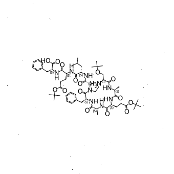 CC(C)C[C@H](NC(=O)[C@@H]1CCCN1C(=O)[C@H](Cc1ccccc1)NC(=O)[C@H](C)NC(=O)[C@H](CCC(=O)OC(C)(C)C)NC(=O)[C@H](C)NC(=O)[C@@H](N)COC(C)(C)C)C(=O)N[C@@H](CCC(=O)OC(C)(C)C)C(=O)N[C@@H](Cc1ccccc1)C(=O)O